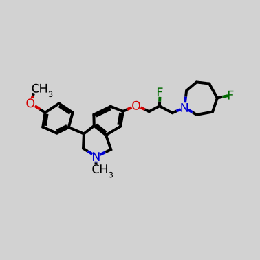 COc1ccc(C2CN(C)Cc3cc(OCC(F)CN4CCCC(F)CC4)ccc32)cc1